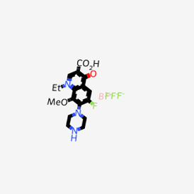 CCn1cc(C(=O)O)c(=O)c2cc(F)c(N3CCNCC3)c(OC)c21.[B+3].[F-].[F-].[F-]